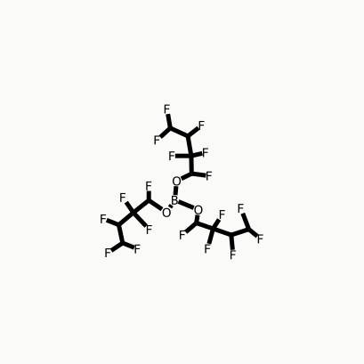 FC(F)C(F)C(F)(F)C(F)OB(OC(F)C(F)(F)C(F)C(F)F)OC(F)C(F)(F)C(F)C(F)F